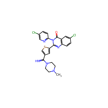 CN1CCN(C(=N)c2csc(-c3nc4ccc(Cl)cc4c(=O)n3-c3ccc(Cl)cn3)c2)CC1